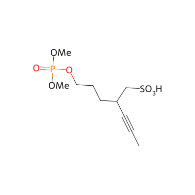 CC#CC(CCCOP(=O)(OC)OC)CS(=O)(=O)O